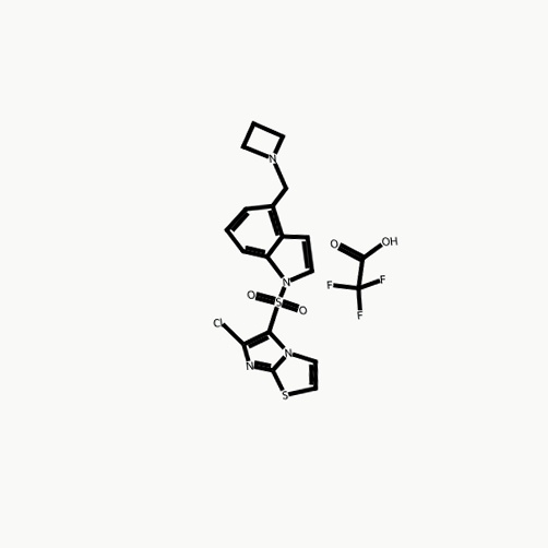 O=C(O)C(F)(F)F.O=S(=O)(c1c(Cl)nc2sccn12)n1ccc2c(CN3CCC3)cccc21